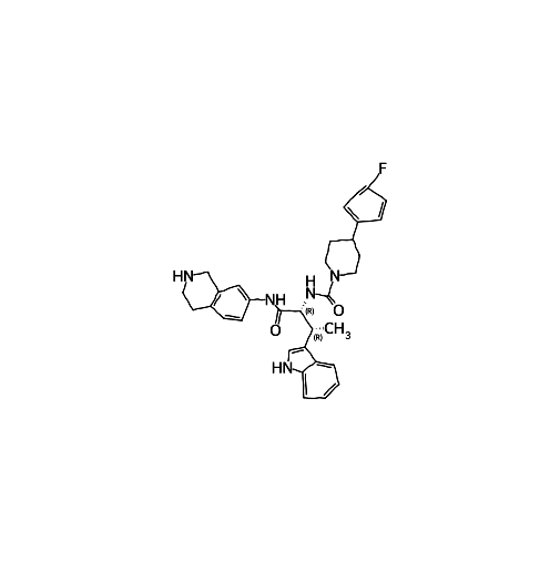 C[C@H](c1c[nH]c2ccccc12)[C@@H](NC(=O)N1CCC(c2ccc(F)cc2)CC1)C(=O)Nc1ccc2c(c1)CNCC2